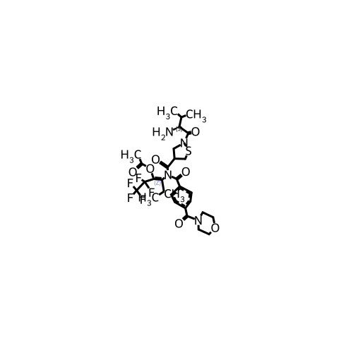 CC(=O)O/C(=C(/C(C)C)N(C(=O)c1ccc(C(=O)N2CCOCC2)cc1)C(=O)C1CSN(C(=O)[C@@H](N)C(C)C)C1)C(F)(F)C(F)(F)F